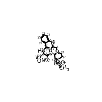 COC(=O)[C@@H](Nc1nc(CN2CCN(S(C)(=O)=O)CC2)nc2ccccc12)C(C)C